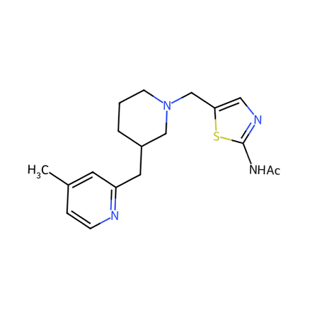 CC(=O)Nc1ncc(CN2CCCC(Cc3cc(C)ccn3)C2)s1